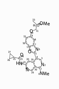 CNc1ncc(-c2nc3cc(OC[C@@H](C)OC)ccc3o2)c2cc(NC(=O)C3CC3)ncc12